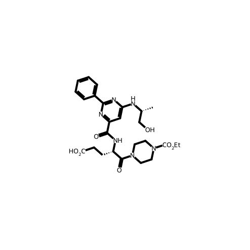 CCOC(=O)N1CCN(C(=O)[C@H](CCC(=O)O)NC(=O)c2cc(N[C@H](C)CO)nc(-c3ccccc3)n2)CC1